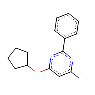 O=Cc1cc(OC2CCCC2)nc(-c2ccccc2)n1